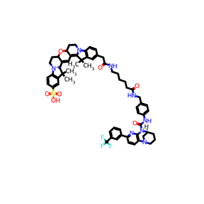 CC1(C)C2=C3C=C4C5=[N+](CCC4OC3CCN2c2ccc(CC(=O)NCCCCCC(=O)NCc3ccc(NC(=O)N4c6nc(-c7cccc(C(F)(F)F)c7)ccc6N6CCC[C@H]4C6)cc3)cc21)c1ccc(S(=O)(=O)O)cc1C5(C)C